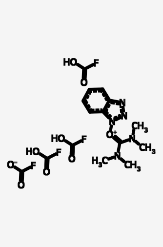 CN(C)C(=[O+]n1nnc2ccccc21)N(C)C.O=C(O)F.O=C(O)F.O=C(O)F.O=C([O-])F